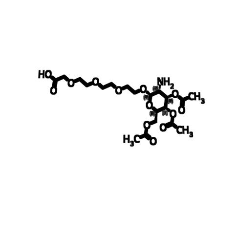 CC(=O)OC[C@H]1O[C@@H](OCCOCCOCCOCC(=O)O)[C@H](N)[C@@H](OC(C)=O)[C@H]1OC(C)=O